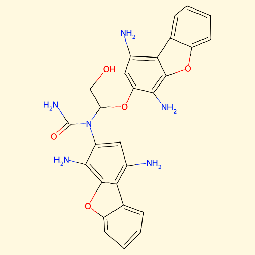 NC(=O)N(c1cc(N)c2c(oc3ccccc32)c1N)C(CO)Oc1cc(N)c2c(oc3ccccc32)c1N